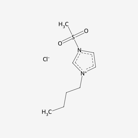 CCCC[n+]1ccn(S(C)(=O)=O)c1.[Cl-]